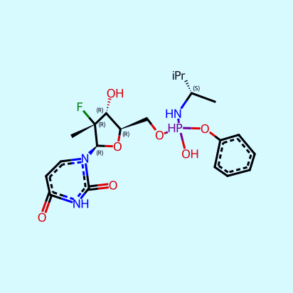 CC(C)[C@H](C)N[PH](O)(OC[C@H]1O[C@@H](n2ccc(=O)[nH]c2=O)[C@](C)(F)[C@@H]1O)Oc1ccccc1